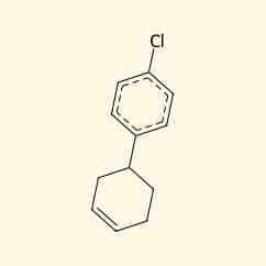 Clc1ccc(C2CC=CCC2)cc1